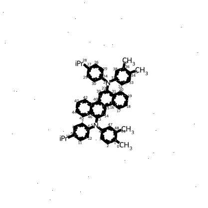 Cc1ccc(N(c2ccc(C(C)C)cc2)c2cc3c4ccccc4c(N(c4ccc(C(C)C)cc4)c4ccc(C)c(C)c4)cc3c3ccccc23)cc1C